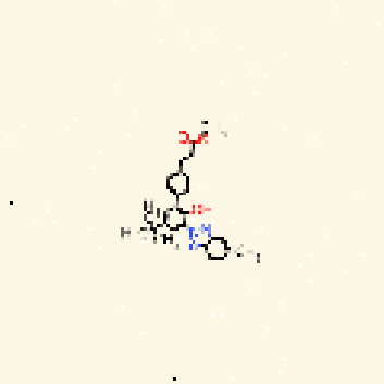 COC(=O)CCc1ccc(-c2cc(C(C)(C)C)cc(-n3nc4ccc(C)cc4n3)c2O)cc1